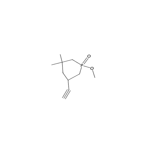 C#CC1CC(C)(C)CP(=O)(OC)C1